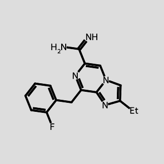 CCc1cn2cc(C(=N)N)nc(Cc3ccccc3F)c2n1